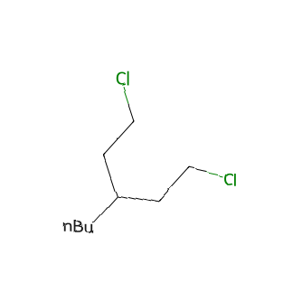 CCCCC(CCCl)CCCl